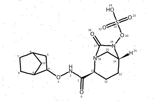 O=C(NOC1CC2CCC1C2)[C@@H]1CC[C@@H]2CN1C(=O)N2OS(=O)(=O)O